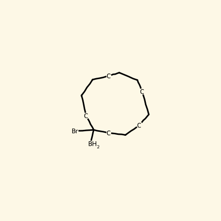 BC1(Br)CCCCCCCCCCC1